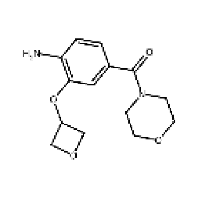 Nc1ccc(C(=O)N2CCOCC2)cc1OC1COC1